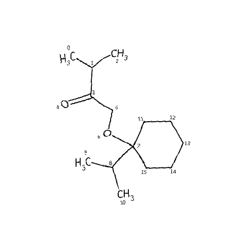 CC(C)C(=O)COC1(C(C)C)CCCCC1